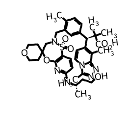 Cc1ccc([C@H](c2ccn3c(C(F)(F)F)nnc3c2C)C(C)(C)C(=O)O)cc1CN1CC2(CCOCC2)Oc2nc(N[C@@H](C)CCO)ccc2S1(=O)=O